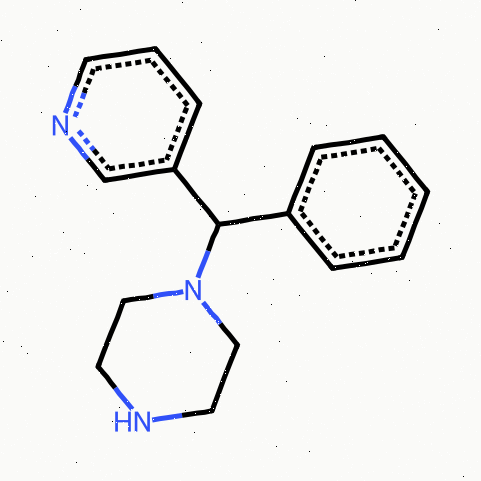 c1ccc(C(c2cccnc2)N2CCNCC2)cc1